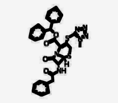 Cn1nnnc1SC1=C(C(=O)OC(c2ccccc2)c2ccccc2)N2C(=O)[C@@H](NC(=O)Cc3ccccc3)[C@H]2SC1